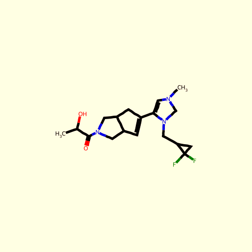 CC(O)C(=O)N1CC2C=C(C3=CN(C)CN3CC3CC3(F)F)CC2C1